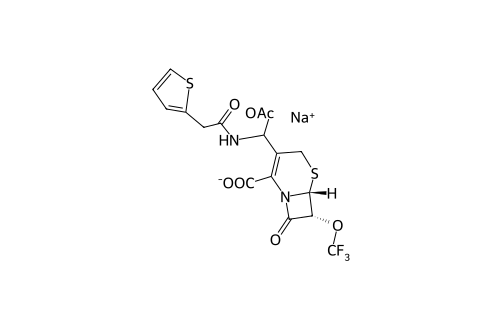 CC(=O)OC(NC(=O)Cc1cccs1)C1=C(C(=O)[O-])N2C(=O)[C@@H](OC(F)(F)F)[C@H]2SC1.[Na+]